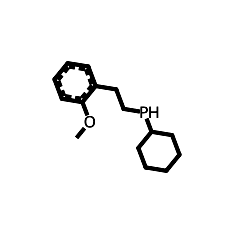 COc1ccccc1CCPC1CCCCC1